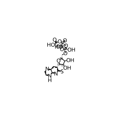 O=P(O)(O)OP(=O)(O)OP(=O)(O)OC[C@H]1O[C@@H](c2cc3ncc[nH]c-3nc2=S)[C@@H](O)C1O